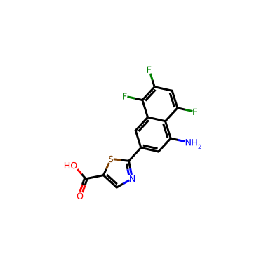 Nc1cc(-c2ncc(C(=O)O)s2)cc2c(F)c(F)cc(F)c12